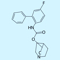 O=C(Nc1ccc(F)cc1-c1ccccc1)OC1CN2CCC1CC2